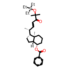 CC[Si](CC)(CC)OC(C)(C)C(=O)/C=C/[C@@H](C)[C@H]1CC[C@H]2[C@@H](OC(=O)c3ccccc3)CCC[C@]12C